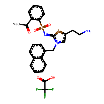 COC(=O)c1ccccc1S(=O)(=O)/N=c1\sc(CCN)cn1Cc1cccc2ccccc12.O=C(O)C(F)(F)F